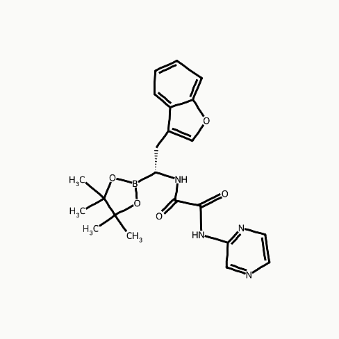 CC1(C)OB([C@H](Cc2coc3ccccc23)NC(=O)C(=O)Nc2cnccn2)OC1(C)C